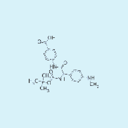 CNc1ccc(C(NC(=O)OC(C)(C)C)C(=O)Nc2ccc(C(=O)O)cc2)cc1